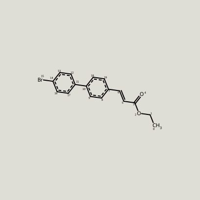 CCOC(=O)C=Cc1ccc(-c2ccc(Br)cc2)cc1